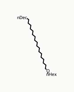 CCCCCCCCCCCCCCCCCCCCCCCCCCCCOCCCCCC